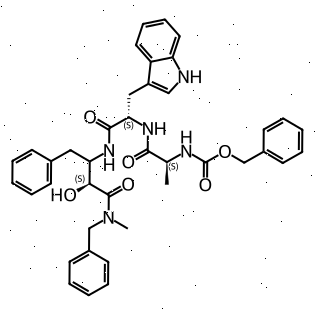 C[C@H](NC(=O)OCc1ccccc1)C(=O)N[C@@H](Cc1c[nH]c2ccccc12)C(=O)NC(Cc1ccccc1)[C@H](O)C(=O)N(C)Cc1ccccc1